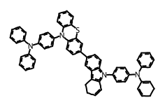 C1=CC(N(c2ccccc2)c2ccc(-n3c4c(c5cc(-c6ccc7c(c6)Sc6ccccc6N7c6ccc(N(c7ccccc7)c7ccccc7)cc6)ccc53)CCC=C4)cc2)=CCC1